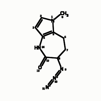 Cn1ccc2c1CCC(N=[N+]=[N-])C(=O)N2